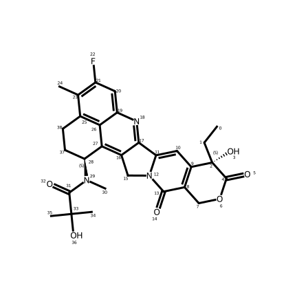 CC[C@@]1(O)C(=O)OCc2c1cc1n(c2=O)Cc2c-1nc1cc(F)c(C)c3c1c2[C@@H](N(C)C(=O)C(C)(C)O)CC3